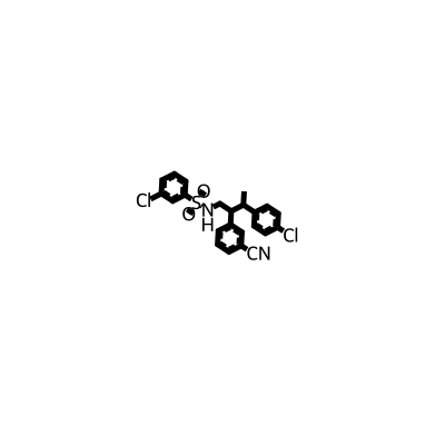 CC(c1ccc(Cl)cc1)C(CNS(=O)(=O)c1cccc(Cl)c1)c1cccc(C#N)c1